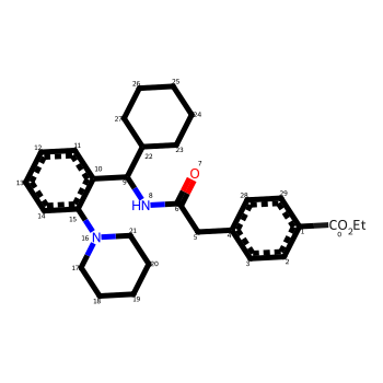 CCOC(=O)c1ccc(CC(=O)NC(c2ccccc2N2CCCCC2)C2CCCCC2)cc1